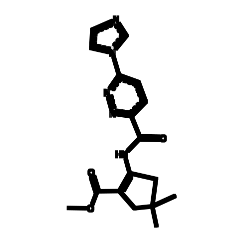 COC(=O)C1=C(NC(=O)c2ccc(-n3ccnc3)nn2)CC(C)(C)C1